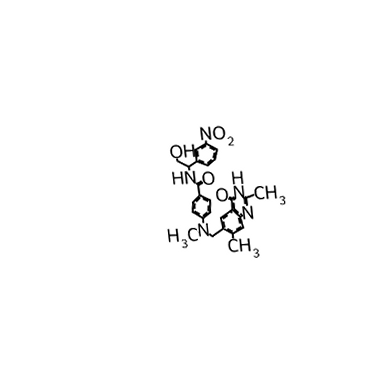 Cc1nc2cc(C)c(CN(C)c3ccc(C(=O)NC(CO)c4cccc([N+](=O)[O-])c4)cc3)cc2c(=O)[nH]1